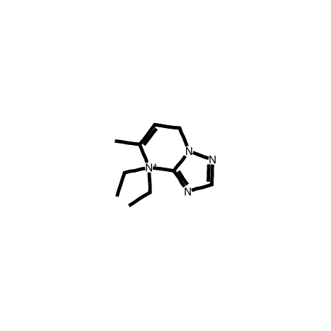 CC[N+]1(CC)C(C)=CCn2ncnc21